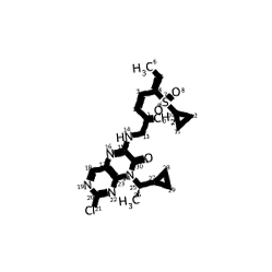 C=C(/C=C\C(=C/C)S(=O)(=O)C1CC1)CNc1nc2cnc(Cl)nc2n([C@@H](C)C2CC2)c1=O